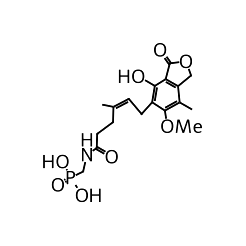 COc1c(C)c2c(c(O)c1CC=C(C)CCC(=O)NCP(=O)(O)O)C(=O)OC2